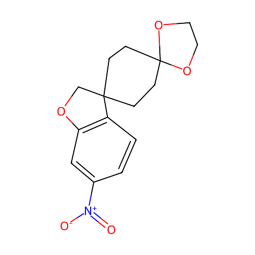 O=[N+]([O-])c1ccc2c(c1)OCC21CCC2(CC1)OCCO2